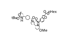 CCCCCCOC(=O)c1cc2cc(NC(=O)[C@@H]3[C@H]([C@H]4CC[C@H](OC)CC4)CCN3C(=O)[C@H]3CC[C@H]([C@@H](CF)NC(=O)OC(C)(C)C)CC3)ccc2o1